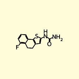 NC(=O)Nc1cc2c(s1)-c1cccc(F)c1CC2